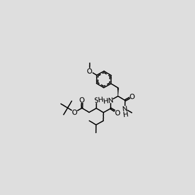 CNC(=O)[C@H](Cc1ccc(OC)cc1)NC(=O)C(CC(C)C)C(S)CC(=O)OC(C)(C)C